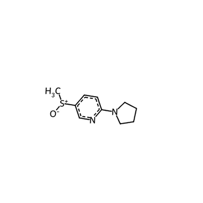 C[S+]([O-])c1ccc(N2CCCC2)nc1